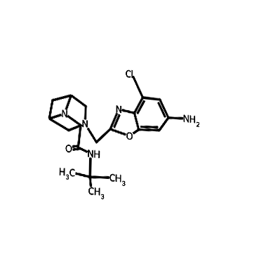 CC(C)(C)NC(=O)CN1C2CC1CN(Cc1nc3c(Cl)cc(N)cc3o1)C2